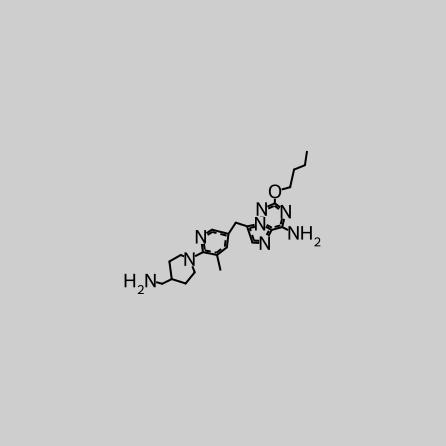 CCCCOc1nc(N)c2ncc(Cc3cnc(N4CCC(CN)CC4)c(C)c3)n2n1